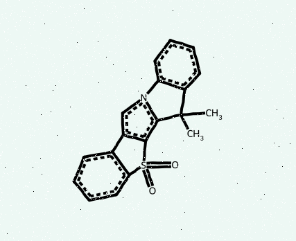 CC1(C)c2ccccc2-n2cc3c(c21)S(=O)(=O)c1ccccc1-3